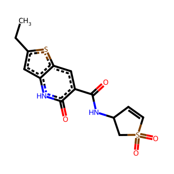 CCc1cc2[nH]c(=O)c(C(=O)NC3C=CS(=O)(=O)C3)cc2s1